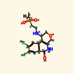 CS(=O)(=O)CCNC1COCc2[nH]c(=O)c3cc(F)c(F)cc3c21